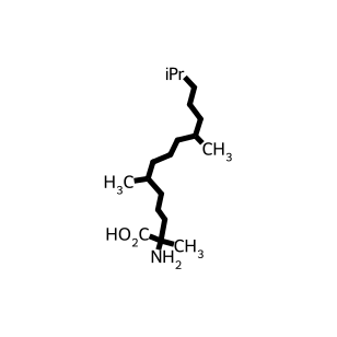 CC(C)CCCC(C)CCCC(C)CCCC(C)(N)C(=O)O